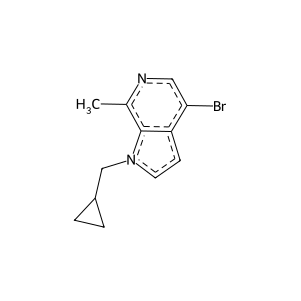 Cc1ncc(Br)c2ccn(CC3CC3)c12